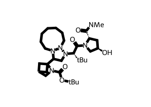 CNC(=O)[C@@H]1C[C@@H](O)CN1C(=O)[C@@H](N1CC(C23CC(CN2C(=O)OC(C)(C)C)C3)N2CCCCCCCN21)C(C)(C)C